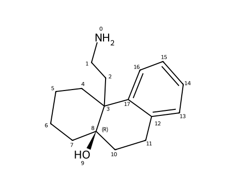 NCCC12CCCC[C@@]1(O)CCc1ccccc12